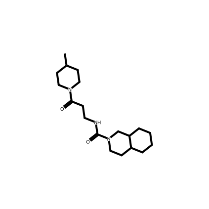 CC1CCN(C(=O)CCNC(=O)N2CCC3CCCCC3C2)CC1